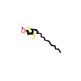 CCCCCCCCCCc1cc2sc(OC)cc2s1